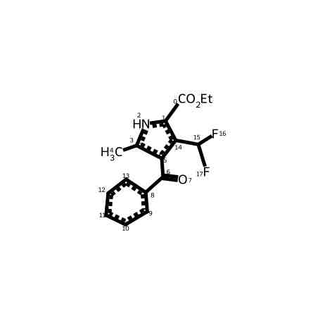 CCOC(=O)c1[nH]c(C)c(C(=O)c2ccccc2)c1C(F)F